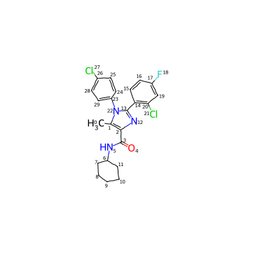 Cc1c(C(=O)NC2CCCCC2)nc(-c2ccc(F)cc2Cl)n1-c1ccc(Cl)cc1